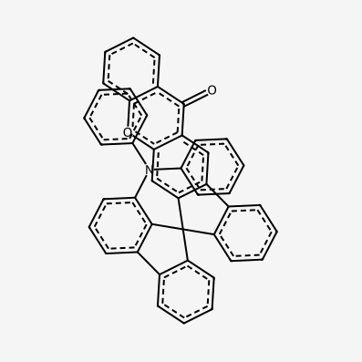 O=c1c2ccccc2oc2cc3c(cc12)-c1ccccc1C31c2ccccc2-c2cccc(N(c3ccccc3)c3ccccc3)c21